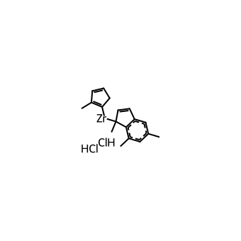 CC1=[C]([Zr][C]2(C)C=Cc3cc(C)cc(C)c32)CC=C1.Cl.Cl